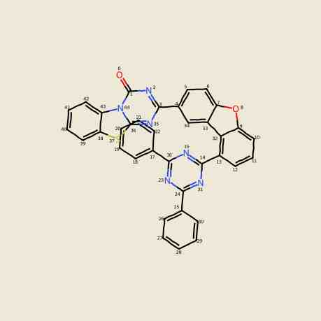 O=c1nc(-c2ccc3oc4cccc(-c5nc(-c6ccccc6)nc(-c6ccccc6)n5)c4c3c2)nc2sc3ccccc3n12